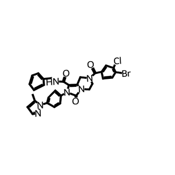 Cc1ccnn1-c1ccc(-n2c(C(=O)NCc3ccccc3)c3n(c2=O)CCN(C(=O)c2ccc(Br)c(Cl)c2)C3)cc1